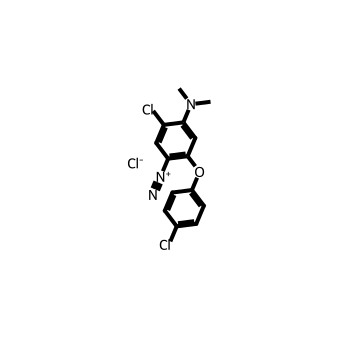 CN(C)c1cc(Oc2ccc(Cl)cc2)c([N+]#N)cc1Cl.[Cl-]